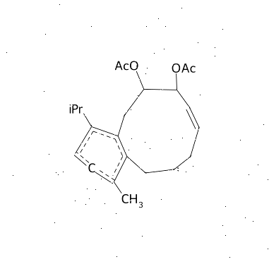 CC(=O)OC1/C=C\C[C]Cc2c(C)ccc(C(C)C)c2CC1OC(C)=O